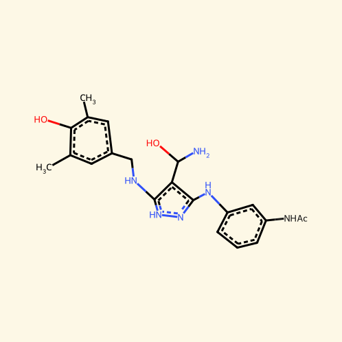 CC(=O)Nc1cccc(Nc2n[nH]c(NCc3cc(C)c(O)c(C)c3)c2C(N)O)c1